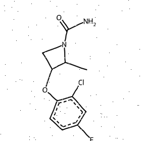 CC1C(Oc2ccc(F)cc2Cl)CN1C(N)=O